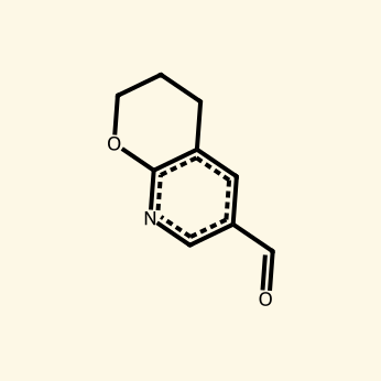 O=Cc1cnc2c(c1)CCCO2